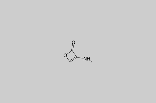 NC1=COC1=O